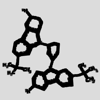 [2H]c1ccc2c(c1)c1ccc(C(C)(C)C)cc1n2-c1cccc(-n2c3ccc([2H])cc3c3ccc(C(C)(C)C)cc32)c1